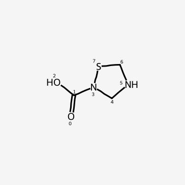 O=C(O)N1CNCS1